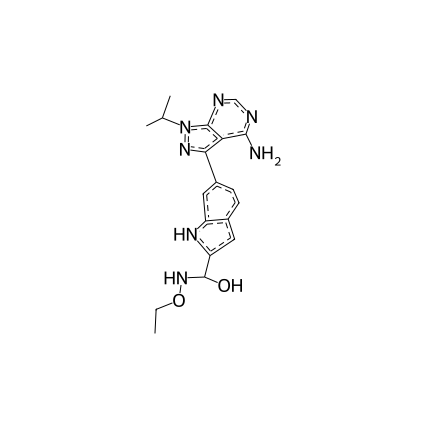 CCONC(O)c1cc2ccc(-c3nn(C(C)C)c4ncnc(N)c34)cc2[nH]1